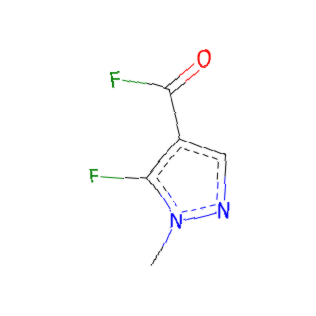 Cn1ncc(C(=O)F)c1F